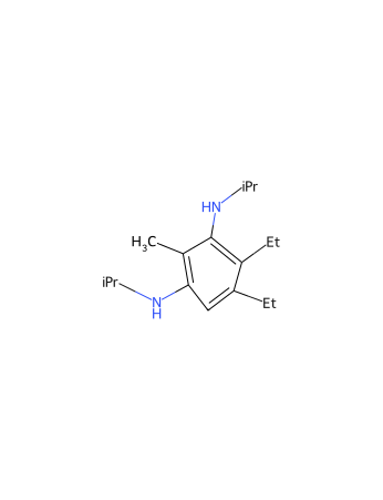 CCc1cc(NC(C)C)c(C)c(NC(C)C)c1CC